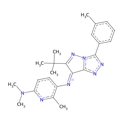 Cc1cccc(-c2nnc3n2N=C(C(C)(C)C)/C3=N\c2ccc(N(C)C)nc2C)c1